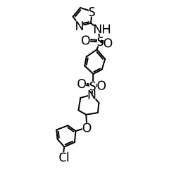 O=S(=O)(Nc1nccs1)c1ccc(S(=O)(=O)N2CCC(Oc3cccc(Cl)c3)CC2)cc1